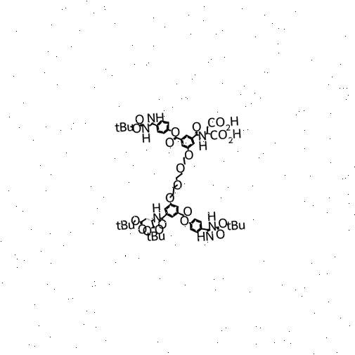 CC(C)(C)OC(=O)C[C@H](NC(=O)c1cc(OCCOCCOCCOc2cc(C(=O)N[C@@H](CC(=O)O)C(=O)O)cc(C(=O)Oc3ccc(C(=N)NC(=O)OC(C)(C)C)cc3)c2)cc(C(=O)Oc2ccc(C(=N)NC(=O)OC(C)(C)C)cc2)c1)C(=O)OC(C)(C)C